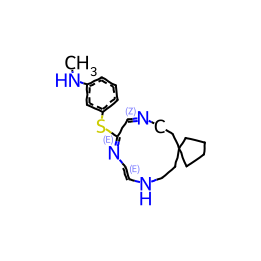 CNc1cccc(SC2=N/C=C/NCCC3(CCCC3)CC/N=C\2)c1